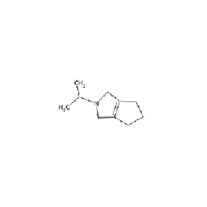 CC(C)N1CC2=C(CCC2)C1